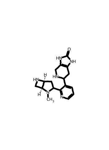 CN1C(c2ncccc2C2Cc3[nH]c(=O)[nH]c3CN2)C[C@@H]2NC[C@@H]21